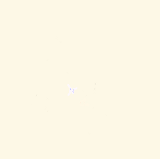 c1ccc(-c2cccc3c2oc2c(N(c4ccc(-c5cccc6ccccc56)cc4)c4cccc(S(c5ccccc5)(c5ccccc5)c5ccccc5)c4)cccc23)cc1